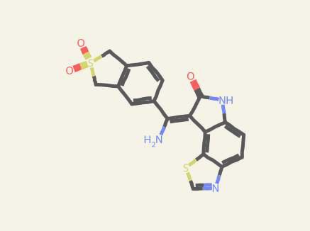 N/C(=C1/C(=O)Nc2ccc3ncsc3c21)c1ccc2c(c1)CS(=O)(=O)C2